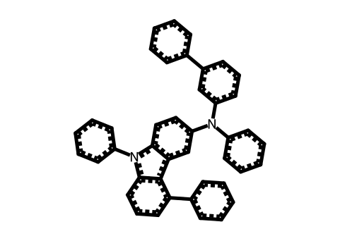 c1ccc(-c2cccc(N(c3ccccc3)c3ccc4c(c3)c3c(-c5ccccc5)cccc3n4-c3ccccc3)c2)cc1